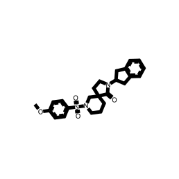 COc1ccc(S(=O)(=O)N2CCCC3(CCN(C4Cc5ccccc5C4)C3=O)C2)cc1